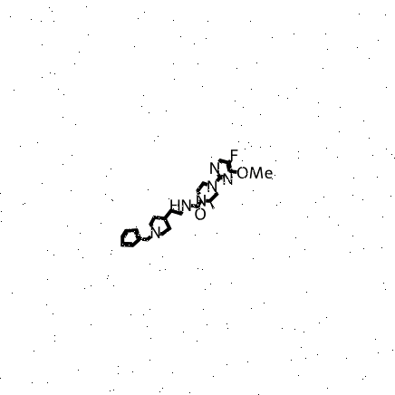 COc1nc(N2CCN(C(=O)NCCC3CCN(Cc4ccccc4)CC3)[C@H](C)C2)ncc1F